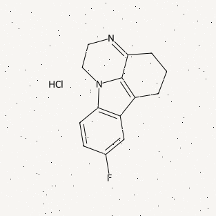 Cl.Fc1ccc2c(c1)c1c3n2CCN=C3CCC1